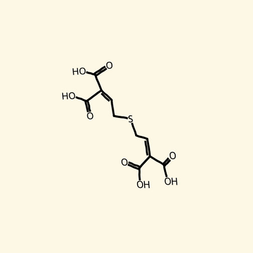 O=C(O)C(=CCSCC=C(C(=O)O)C(=O)O)C(=O)O